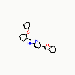 c1ccc(Oc2ccccc2CNc2ccc(-c3cc4ccccc4o3)cn2)cc1